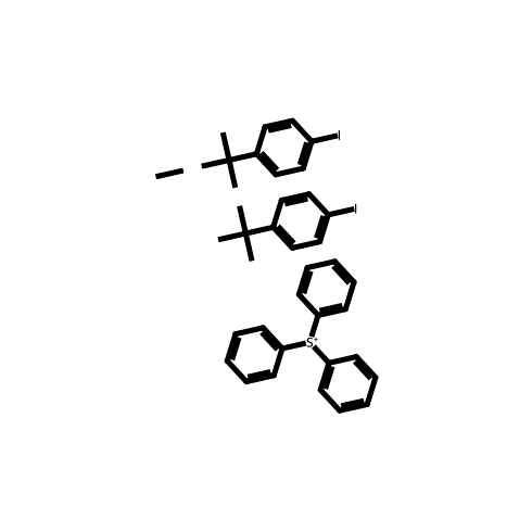 CC.CC(C)(C)c1ccc(I)cc1.CC(C)(C)c1ccc(I)cc1.c1ccc([S+](c2ccccc2)c2ccccc2)cc1